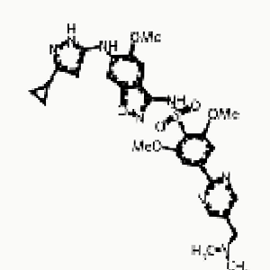 COc1cc2c(NS(=O)(=O)c3c(OC)cc(-c4ncc(CN(C)C)cn4)cc3OC)noc2cc1Nc1cc(C2CC2)n[nH]1